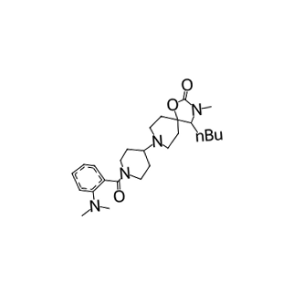 CCCCC1N(C)C(=O)OC12CCN(C1CCN(C(=O)c3ccccc3N(C)C)CC1)CC2